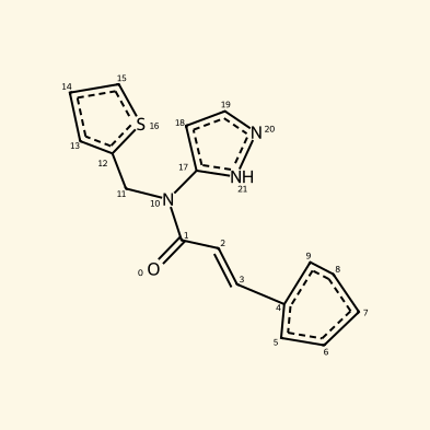 O=C(C=Cc1ccccc1)N(Cc1cccs1)c1ccn[nH]1